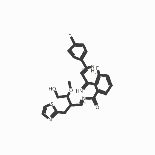 COC(CO)C(/C=N/C(=O)c1cccc(F)c1C(=N)/C=C(\N)c1ccc(F)cc1)Cc1nccs1